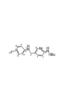 CC(C)(C)Nc1ccc(CNc2ccc(F)cc2)cn1